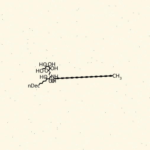 CC#CC#CC#CC#CC#CC#CC#CC#CC#CC#CC#CC#CC(=O)N[C@@H](CC[C@H]1OC(CO)[C@H](O)[C@H](O)C1O)[C@H](O)[C@H](O)CCCCCCCCCCCCCC